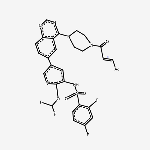 CC(=O)/C=C/C(=O)N1CCN(c2ncnc3ccc(-c4cnc(OC(F)F)c(NS(=O)(=O)c5ccc(F)cc5F)c4)cc23)CC1